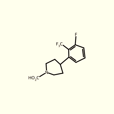 O=C(O)N1CCC(c2cccc(F)c2C(F)(F)F)CC1